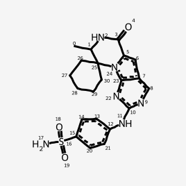 CC1NC(=O)c2cc3cnc(Nc4ccc(S(N)(=O)=O)cc4)nc3n2C12CCCCC2